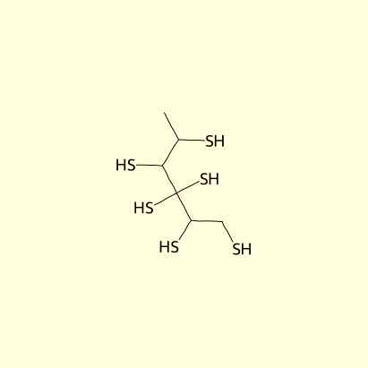 CC(S)C(S)C(S)(S)C(S)CS